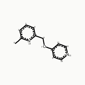 Cc1cccc(COc2ccncc2)n1